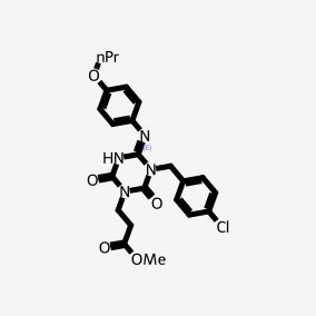 CCCOc1ccc(/N=c2\[nH]c(=O)n(CCC(=O)OC)c(=O)n2Cc2ccc(Cl)cc2)cc1